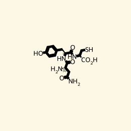 NC(=O)C[C@H](N)C(=O)N[C@@H](Cc1ccc(O)cc1)C(=O)N[C@@H](CS)C(=O)O